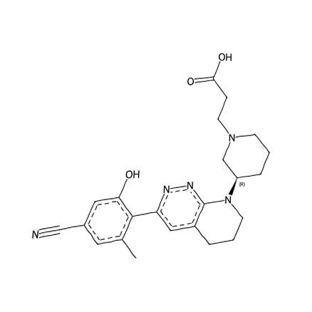 Cc1cc(C#N)cc(O)c1-c1cc2c(nn1)N([C@@H]1CCCN(CCC(=O)O)C1)CCC2